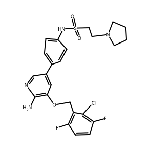 Nc1ncc(-c2ccc(NS(=O)(=O)CCN3CCCC3)cc2)cc1OCc1c(F)ccc(F)c1Cl